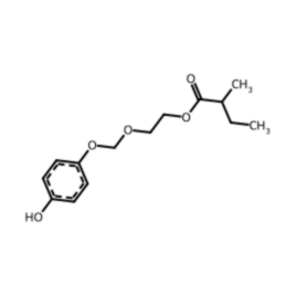 CCC(C)C(=O)OCCOCOc1ccc(O)cc1